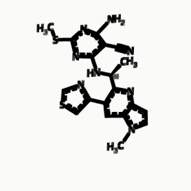 CSc1nc(N)c(C#N)c(N[C@@H](C)c2nc3ccn(C)c3cc2-c2cscn2)n1